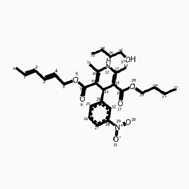 CC=CC=CCOC(=O)C1=C(C)NC(C)=C(C(=O)OCCCC)C1c1cccc([N+](=O)[O-])c1.CCCCO